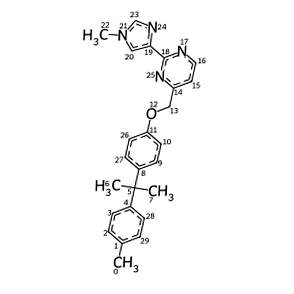 Cc1ccc(C(C)(C)c2ccc(OCc3ccnc(-c4cn(C)cn4)n3)cc2)cc1